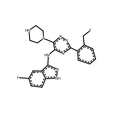 FCc1ccccc1-c1nnc(N2CCNCC2)c(Nc2n[nH]c3ccc(F)cc23)n1